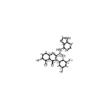 CC[C@H](Nc1ncnc2[nH]cnc12)c1nc2ccc(F)c(Cl)c2c(=O)n1-c1cc(F)cc(F)c1